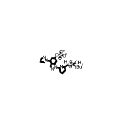 CC(C)(C)[Si](C)(C)OCc1cccc(-n2ncc3c(-n4cccn4)cc(OS(=O)(=O)C(F)(F)F)cc32)n1